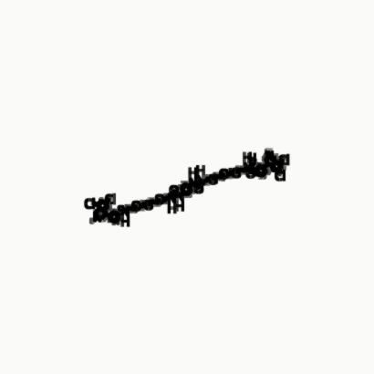 CN1Cc2c(Cl)cc(Cl)cc2C(c2cccc(SNCCOCCOCCOCCNC(=O)Nc3ccc(NC(=O)NCCOCCOCCOCCN[SH](=O)(F)c4cccc(C5CN(C)Cc6c(Cl)cc(Cl)cc65)c4)cc3)c2)C1